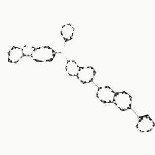 c1ccc(-c2ccc3cc(-c4ccc5cc(N(c6ccccc6)c6ccc7c(c6)oc6ccccc67)ccc5c4)ccc3c2)cc1